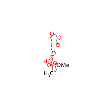 COC(=O)C1CCC(C)CC1C(=O)OC(O)COc1cccc(CCCCCCCC2OC2CC2OC2CC2CO2)c1